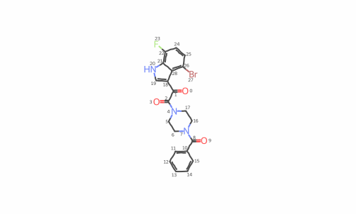 O=C(C(=O)N1CCN(C(=O)c2ccccc2)CC1)c1c[nH]c2c(F)ccc(Br)c12